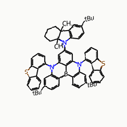 CC(C)(C)c1ccc2c(c1)N(c1cccc3sc4ccccc4c13)c1cc(N3c4ccc(C(C)(C)C)cc4C4(C)CCCCC34C)cc3c1B2c1ccc(C(C)(C)C)cc1N3c1cccc2sc3ccccc3c12